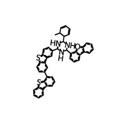 CC1C=CC=CC1C1NC(c2ccc3sc4ccc(-c5cccc6c5sc5ccccc56)cc4c3c2)NC(c2cccc3c2oc2ccccc23)N1